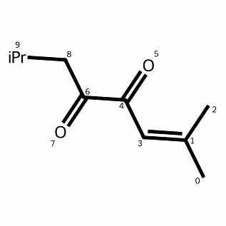 CC(C)=CC(=O)C(=O)CC(C)C